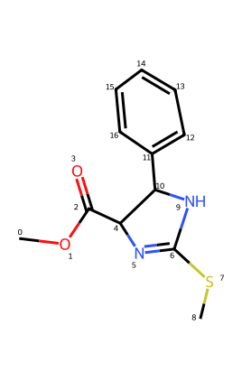 COC(=O)C1N=C(SC)NC1c1ccccc1